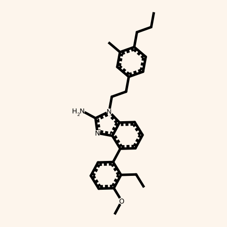 CCCc1ccc(CCn2c(N)nc3c(-c4cccc(OC)c4CC)cccc32)cc1C